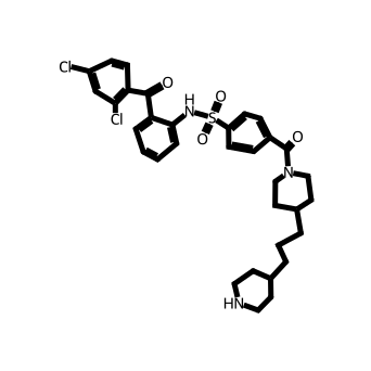 O=C(c1ccc(Cl)cc1Cl)c1ccccc1NS(=O)(=O)c1ccc(C(=O)N2CCC(CCCC3CCNCC3)CC2)cc1